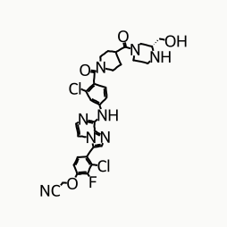 N#CCOc1ccc(-c2cnc3c(Nc4ccc(C(=O)N5CCC(C(=O)N6CCN[C@@H](CO)C6)CC5)c(Cl)c4)nccn23)c(Cl)c1F